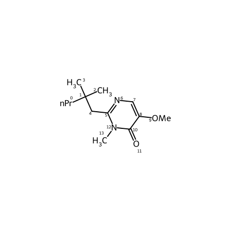 CCCC(C)(C)Cc1ncc(OC)c(=O)n1C